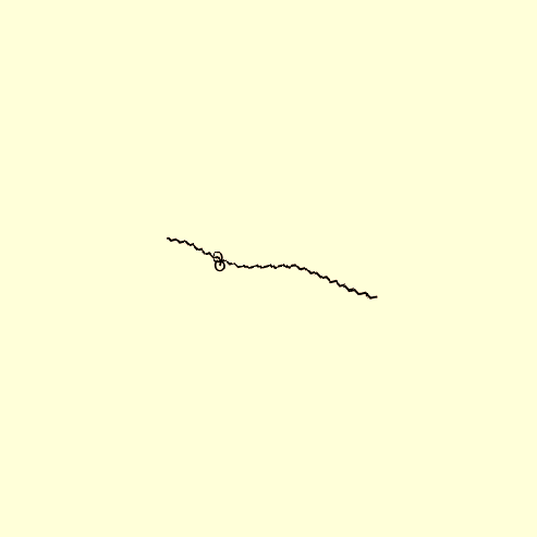 CCCCCCCCCCCCCCCCCCCCCCCCCCCCCC(=O)OCCCCCCCCCCCC